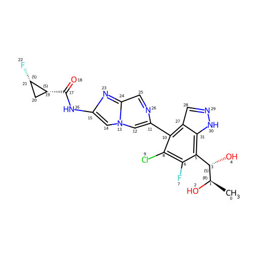 C[C@@H](O)[C@@H](O)c1c(F)c(Cl)c(-c2cn3cc(NC(=O)[C@@H]4C[C@@H]4F)nc3cn2)c2cn[nH]c12